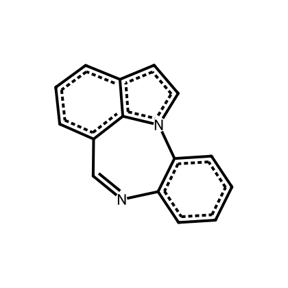 C1=Nc2ccccc2-n2ccc3cccc1c32